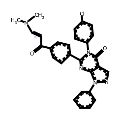 CN(C)/C=C/C(=O)c1ccc(-c2nc3c(cnn3-c3ccccc3)c(=O)n2-c2ccc(Cl)cc2)cc1